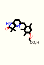 Cc1cc(OCC(=O)O)c(C)c(C)c1Cc1ccc2c(n1)C(C)(C)C(=O)N2